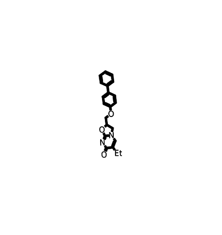 CCc1cn2c(nc1=O)OC(COc1ccc(-c3ccccc3)cc1)C2